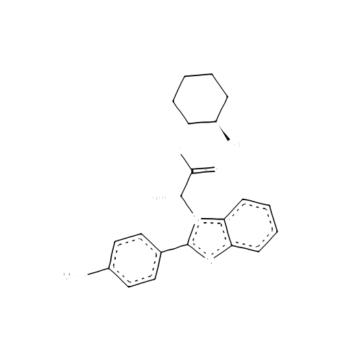 COc1ccc(-c2nc3ccccc3n2[C@H](C)C(=O)O[C@@H]2C[C@H](C)CC[C@H]2C(C)C)cc1